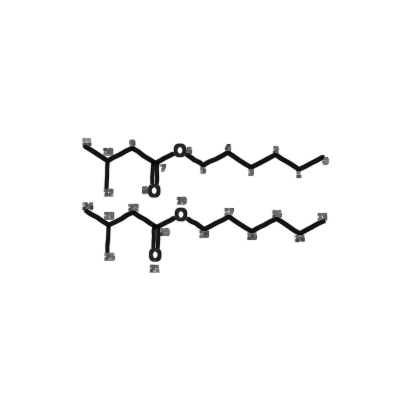 CCCCCCOC(=O)CC(C)C.CCCCCCOC(=O)CC(C)C